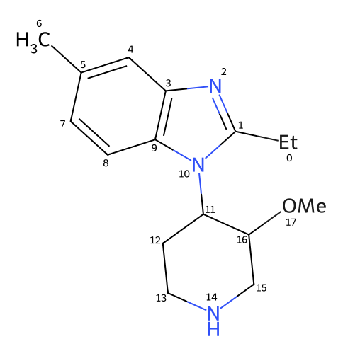 CCc1nc2cc(C)ccc2n1C1CCNCC1OC